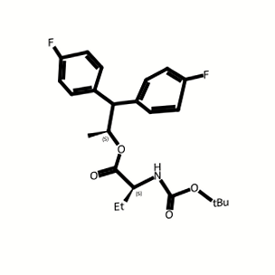 CC[C@H](NC(=O)OC(C)(C)C)C(=O)O[C@@H](C)C(c1ccc(F)cc1)c1ccc(F)cc1